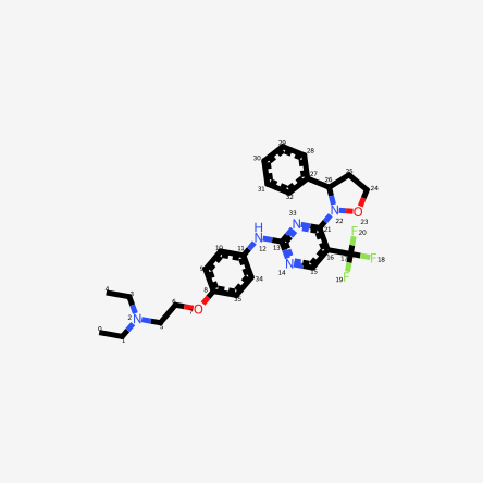 CCN(CC)CCOc1ccc(Nc2ncc(C(F)(F)F)c(N3OCCC3c3ccccc3)n2)cc1